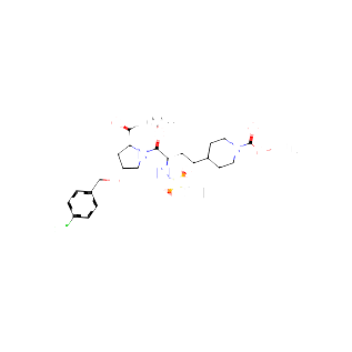 COC(=O)[C@@H]1C[C@@H](OCc2ccc(Cl)cc2)CN1C(=O)[C@@H](CCC1CCN(C(=O)OC(C)(C)C)CC1)NS(C)(=O)=O